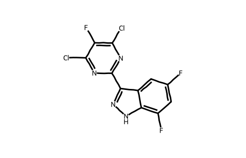 Fc1cc(F)c2[nH]nc(-c3nc(Cl)c(F)c(Cl)n3)c2c1